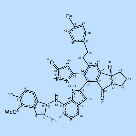 COc1c(F)ccc2c1C[C@@H](F)[C@H]2Nc1nccc2cc(-c3c4c(nc(CCc5ccc(F)cc5)c3-c3n[nH]c(=O)o3)[C@@H]3CCCN3C4=O)sc12